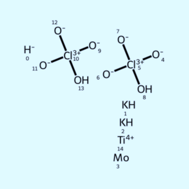 [H-].[KH].[KH].[Mo].[O-][Cl+3]([O-])([O-])O.[O-][Cl+3]([O-])([O-])O.[Ti+4]